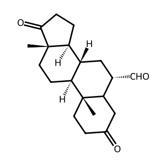 C[C@]12CCC(=O)CC1[C@@H](C=O)C[C@@H]1[C@@H]2CC[C@]2(C)C(=O)CC[C@@H]12